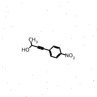 CC(O)C#Cc1ccc([N+](=O)[O-])cc1